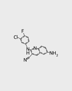 N#Cc1cc2cc(N)ccc2nc1Nc1ccc(F)c(Cl)c1